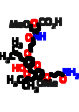 COC(=O)C[C@@H](CCC(=O)O)NC(=O)CCCOc1cc2oc3cc(OCCCC(N)=O)c(OC)c(CC=C(C)C)c3c(=O)c2c(O)c1CC=C(C)C